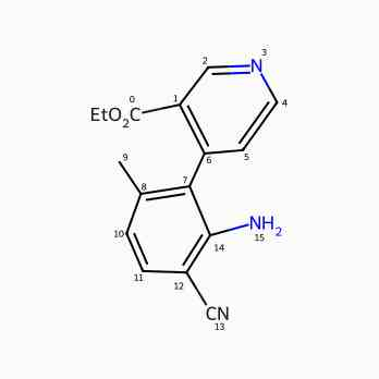 CCOC(=O)c1cnccc1-c1c(C)ccc(C#N)c1N